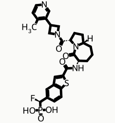 Cc1ccncc1C1CN(C(=O)[C@@H]2CC[C@@H]3CCC[C@H](NC(=O)c4cc5cc([C@H](F)P(=O)(O)O)ccc5s4)C(=O)N32)C1